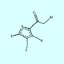 CC(=O)CC(=O)c1sc(F)c(F)c1F